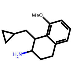 COc1cccc2c1C(CC1CC1)C(N)CC2